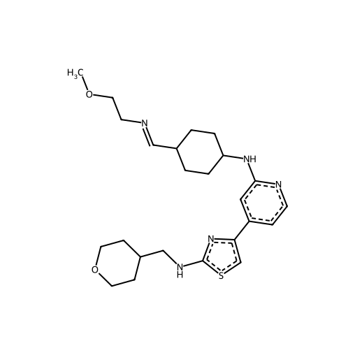 COCC/N=C/C1CCC(Nc2cc(-c3csc(NCC4CCOCC4)n3)ccn2)CC1